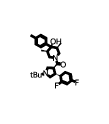 Cc1ccc([C@@]2(O)[C@H](C)CN(C(=O)[C@@H]3CN(C(C)(C)C)C[C@H]3C3CC=C(F)C=C3F)C[C@@H]2C)cc1